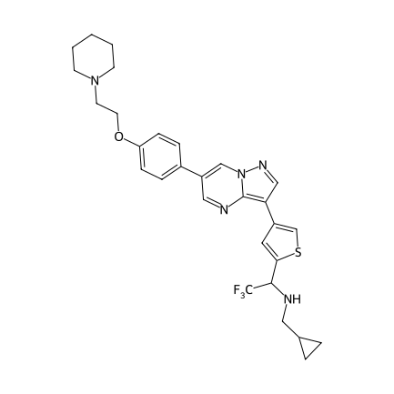 FC(F)(F)C(NCC1CC1)c1cc(-c2cnn3cc(-c4ccc(OCCN5CCCCC5)cc4)cnc23)cs1